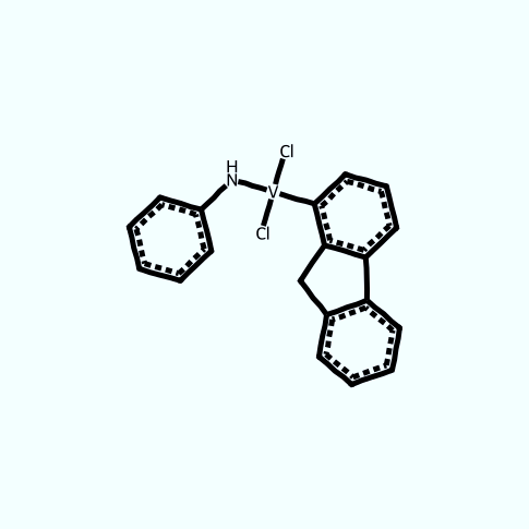 [Cl][V]([Cl])([NH]c1ccccc1)[c]1cccc2c1Cc1ccccc1-2